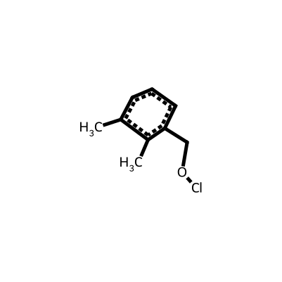 Cc1cccc(COCl)c1C